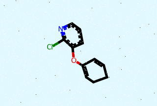 Clc1ncccc1OC1=CC[CH]C=C1